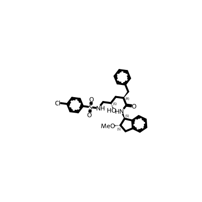 CO[C@H]1Cc2ccccc2[C@@H]1NC(=O)[C@H](Cc1ccccc1)C[C@H](O)CNS(=O)(=O)c1ccc(Cl)cc1